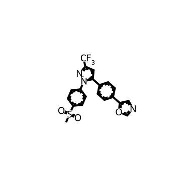 CS(=O)(=O)c1ccc(-n2nc(C(F)(F)F)cc2-c2ccc(-c3cnco3)cc2)cc1